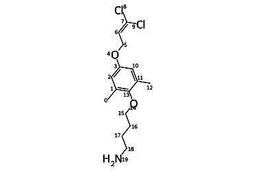 Cc1cc(OCC=C(Cl)Cl)cc(C)c1OCCCCN